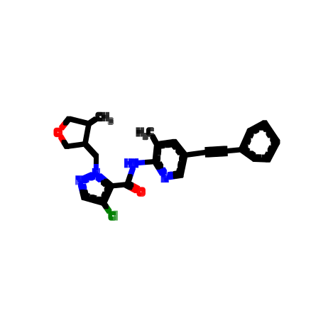 Cc1cc(C#Cc2ccccc2)cnc1NC(=O)c1c(Cl)cnn1CC1COCC1C